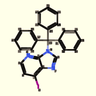 Ic1ccnc2c1ncn2C(c1ccccc1)(c1ccccc1)c1ccccc1